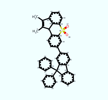 CC1=C(C)C2c3ccc(-c4ccc5c(c4)C(c4ccccc4)(c4ccccc4)c4ccccc4-5)cc3S(=O)(=O)c3cccc1c32